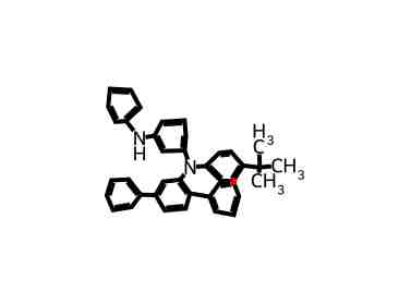 CC(C)(C)c1ccc(N(c2cccc(Nc3ccccc3)c2)c2cc(-c3ccccc3)ccc2-c2ccccc2)cc1